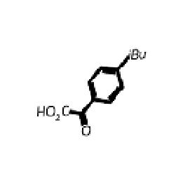 CCC(C)c1ccc(C(=O)C(=O)O)cc1